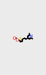 Cc1cc(/C=C/c2ccc(OC=O)s2)cc(C)n1